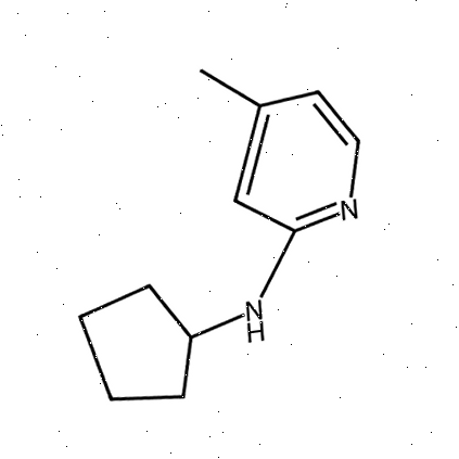 Cc1ccnc(NC2CCCC2)c1